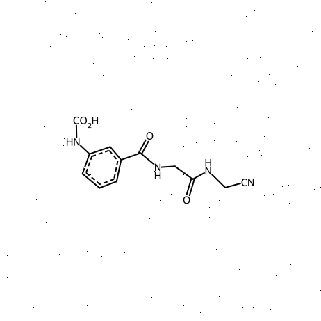 N#CCNC(=O)CNC(=O)c1cccc(NC(=O)O)c1